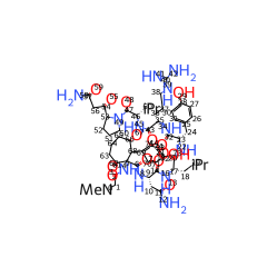 CNCC(=O)N[C@@]1(C(=O)N[C@@H](CC(N)=O)C(=O)N[C@@H](CC(C)C)C(=O)N[C@@H](Cc2ccc(O)cc2)C(=O)N[C@@H](CCCNC(=N)N)C(=O)N[C@H](C(=O)N2CCC[C@H]2C(=O)CC(N)=O)C(C)C)C(=O)CCCC(=O)C1c1ccc(O)cc1